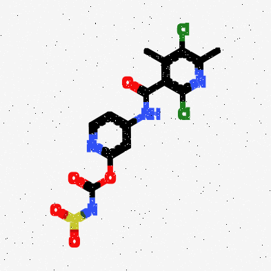 Cc1nc(Cl)c(C(=O)Nc2ccnc(OC(=O)N=S(=O)=O)c2)c(C)c1Cl